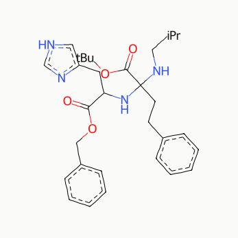 CC(C)CNC(CCc1ccccc1)(NC(Cc1c[nH]cn1)C(=O)OCc1ccccc1)C(=O)OC(C)(C)C